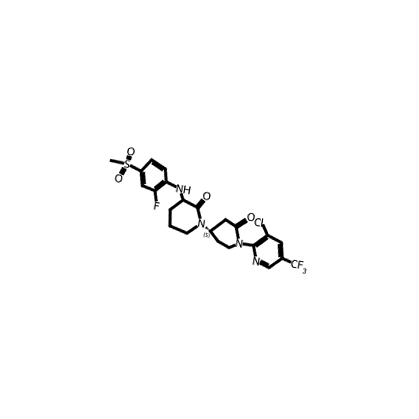 CS(=O)(=O)c1ccc(NC2CCCN([C@H]3CCN(c4ncc(C(F)(F)F)cc4Cl)C(=O)C3)C2=O)c(F)c1